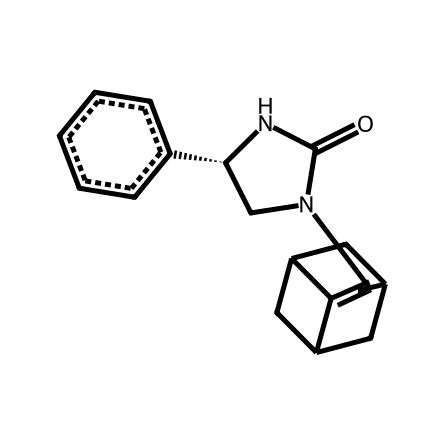 O=C1N[C@@H](c2ccccc2)CN1C1=C2C3CC(C1)CC2C3